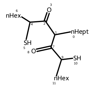 CCCCCCCC(C(=O)C(S)CCCCCC)C(=O)C(S)CCCCCC